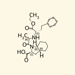 CCOC(=O)[C@H](CCc1ccccc1)N[C@H](C)C(=O)N1[C@@H]2CCCC[C@@H]2C[C@H]1C(=O)O